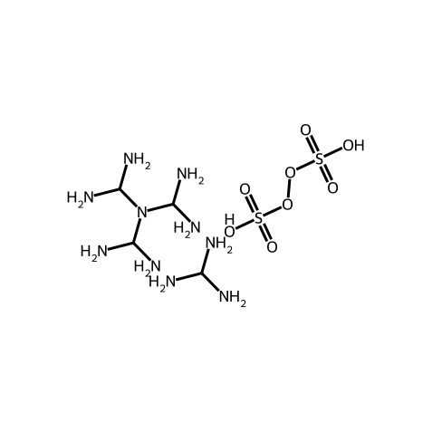 NC(N)N.NC(N)N(C(N)N)C(N)N.O=S(=O)(O)OOS(=O)(=O)O